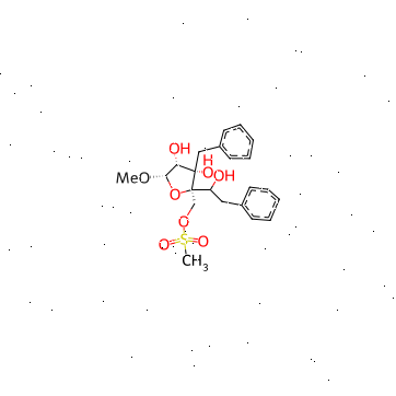 CO[C@H]1O[C@](COS(C)(=O)=O)(C(O)Cc2ccccc2)[C@](O)(Cc2ccccc2)[C@H]1O